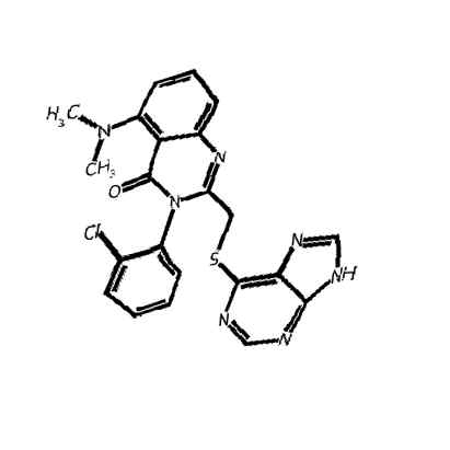 CN(C)c1cccc2nc(CSc3ncnc4[nH]cnc34)n(-c3ccccc3Cl)c(=O)c12